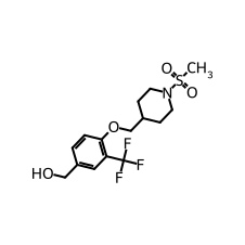 CS(=O)(=O)N1CCC(COc2ccc(CO)cc2C(F)(F)F)CC1